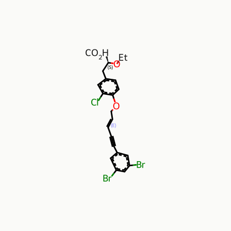 CCO[C@@H](Cc1ccc(OC/C=C/C#Cc2cc(Br)cc(Br)c2)c(Cl)c1)C(=O)O